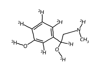 [2H]Oc1c([2H])c([2H])c([2H])c(C([2H])(CN([2H])C)O[2H])c1[2H]